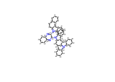 c1ccc2c(c1)ccc1c2c2ccccc2n1-c1nc2ccccc2nc1-n1c2ccccc2c2c3c4ccccc4n4c5ccccc5c(cc21)c34